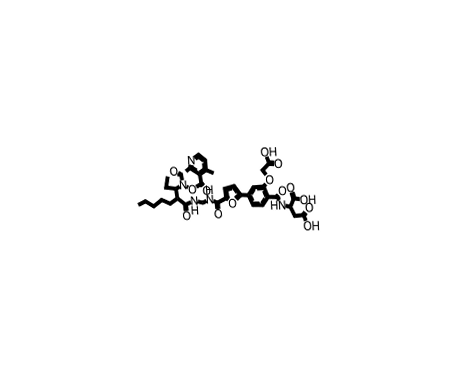 CCCCCC(C(=O)NCNC(=O)c1ccc(-c2ccc(C(=O)NC(CC(=O)O)C(=O)O)c(OCC(=O)O)c2)o1)C(CC)N(C=O)OC(=O)c1c(C)ccnc1C